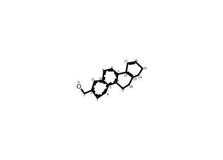 [O]Cc1ccc2c3c(ccc2c1)C1=C(CCC=C1)CC3